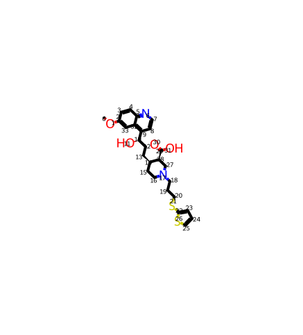 COc1ccc2nccc([C@@H](O)CC[C@@H]3CCN(CCCSc4cccs4)C[C@@H]3C(=O)O)c2c1